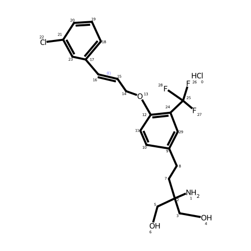 Cl.NC(CO)(CO)CCc1ccc(OC/C=C/c2cccc(Cl)c2)c(C(F)(F)F)c1